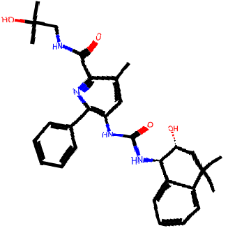 Cc1cc(NC(=O)N[C@@H]2c3ccccc3C(C)(C)C[C@H]2O)c(-c2ccccc2)nc1C(=O)NCC(C)(C)O